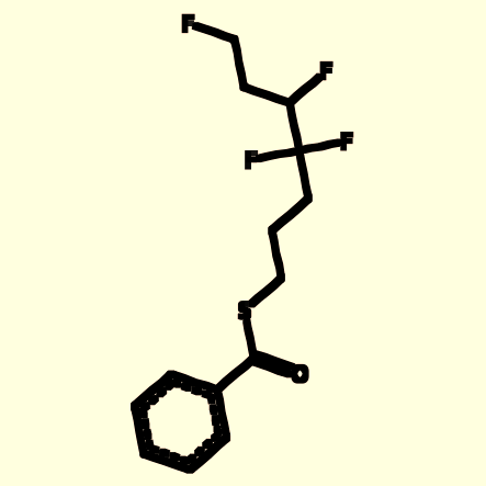 O=C(SCCCC(F)(F)C(F)CCF)c1ccccc1